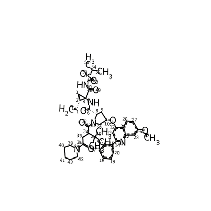 C=C[C@@H]1C[C@]1(NC(=O)[C@@H]1C[C@@H](Oc2cc(-c3ccccc3)nc3cc(OC)ccc23)CN1C(=O)C(CC(=O)N1CCCCC1)C(C)(C)C)C(=O)NS(=O)(=O)C(C)C